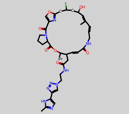 CC1=C\C(O)CC(F)Cc2nc(co2)C(=O)N2CCCC2C(=O)OC(C(C)C)C(CC(=O)NCCn2cc(-c3cnc(C)[nH]3)nn2)/C=C/C(=O)NC\C=C\1